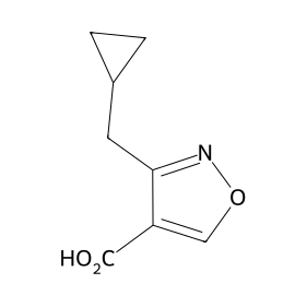 O=C(O)c1conc1CC1CC1